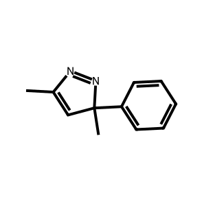 CC1=CC(C)(c2ccccc2)N=N1